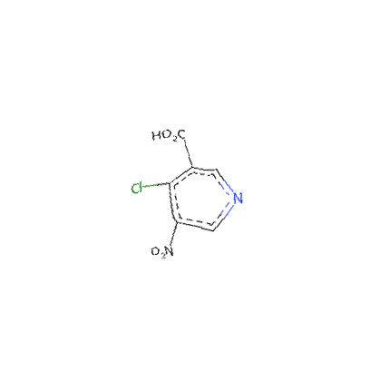 O=C(O)c1cncc([N+](=O)[O-])c1Cl